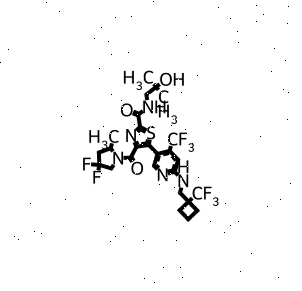 CC1CC(F)(F)CN1C(=O)c1nc(C(=O)NCC(C)(C)O)sc1-c1cnc(NCC2(C(F)(F)F)CCC2)cc1C(F)(F)F